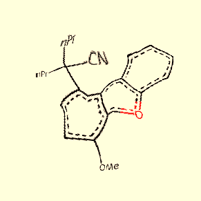 CCCC(C#N)(CCC)c1ccc(OC)c2oc3ccccc3c12